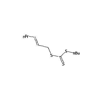 CCCC=CCSC(=S)SCCCC